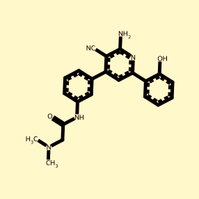 CN(C)CC(=O)Nc1cccc(-c2cc(-c3ccccc3O)nc(N)c2C#N)c1